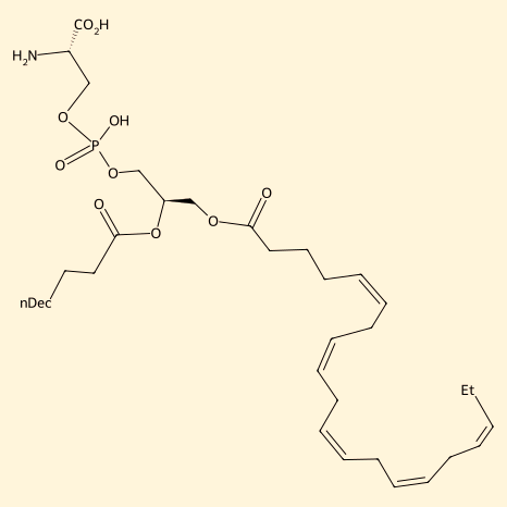 CC/C=C\C/C=C\C/C=C\C/C=C\C/C=C\CCCC(=O)OC[C@H](COP(=O)(O)OC[C@H](N)C(=O)O)OC(=O)CCCCCCCCCCCC